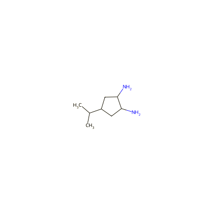 CC(C)C1CC(N)C(N)C1